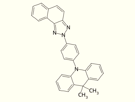 CC1(C)c2ccccc2N(c2ccc(-n3nc4ccc5ccccc5c4n3)cc2)c2ccccc21